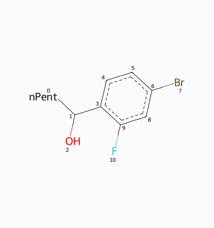 CCCCCC(O)c1ccc(Br)cc1F